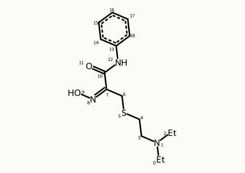 CCN(CC)CCSC/C(=N/O)C(=O)Nc1ccccc1